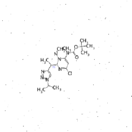 C=NN1C(N(C)C(=O)OC(C)(C)C)=CC(Cl)=N/C1=C(/C)c1cn(C(C)C)nn1